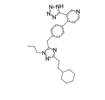 CCCn1nc(CCC2CCCCC2)nc1Cc1ccc(-c2ccncc2-c2nnn[nH]2)cc1